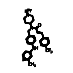 CCCN1CCC(N(Cc2ccc(Nc3ccnc(C)c3)cc2)C(=O)C=Cc2ccc(C(F)(F)F)cc2)CC1